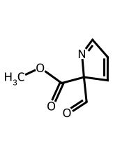 COC(=O)C1(C=O)C=CC=N1